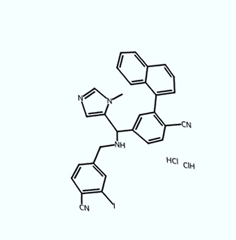 Cl.Cl.Cn1cncc1C(NCc1ccc(C#N)c(I)c1)c1ccc(C#N)c(-c2cccc3ccccc23)c1